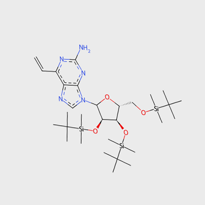 C=Cc1nc(N)nc2c1ncn2C1O[C@H](CO[Si](C)(C)C(C)(C)C)[C@@H](O[Si](C)(C)C(C)(C)C)[C@H]1O[Si](C)(C)C(C)(C)C